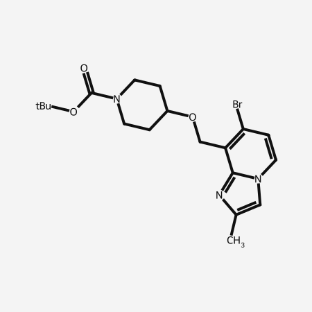 Cc1cn2ccc(Br)c(COC3CCN(C(=O)OC(C)(C)C)CC3)c2n1